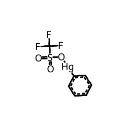 O=S(=O)([O][Hg][c]1ccccc1)C(F)(F)F